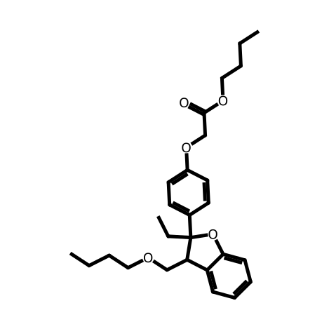 CCCCOCC1c2ccccc2OC1(CC)c1ccc(OCC(=O)OCCCC)cc1